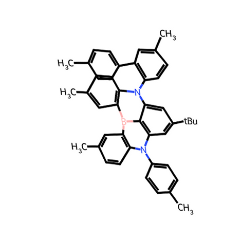 Cc1ccc(-c2cc(C)ccc2N2c3ccc(C)cc3B3c4cc(C)ccc4N(c4ccc(C)cc4)c4cc(C(C)(C)C)cc2c43)cc1